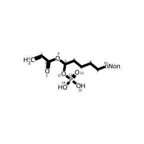 C=CC(=O)OC(CCCCCCCCCCCCC)OP(=O)(O)O